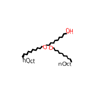 CCCCCCCC/C=C\CCCCCCCCOCC(CCCCCCCCO)OCCCCCCCC/C=C\CCCCCCCC